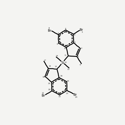 CC1=Cc2c(Br)cc(Br)cc2C1[Si](C)(C)C1C(C)=Cc2c(Br)cc(Br)cc21